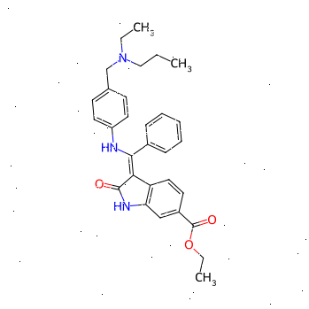 CCCN(CC)Cc1ccc(N/C(=C2\C(=O)Nc3cc(C(=O)OCC)ccc32)c2ccccc2)cc1